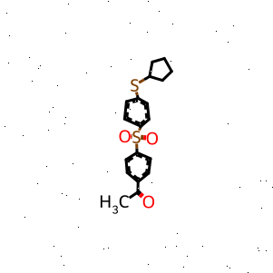 CC(=O)c1ccc(S(=O)(=O)c2ccc(SC3CCCC3)cc2)cc1